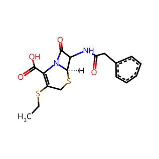 CCSC1=C(C(=O)O)N2C(=O)C(NC(=O)Cc3ccccc3)[C@H]2SC1